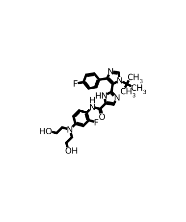 CC(C)(C)n1cnc(-c2ccc(F)cc2)c1-c1ncc(C(=O)Nc2ccc(N(CCO)CCO)cc2F)[nH]1